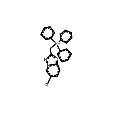 Clc1ccc2nc(C[PH](c3ccccc3)(c3ccccc3)c3ccccc3)nn2c1